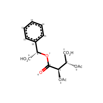 CC(=O)O[C@@H](C(=O)O)[C@@H](OC(C)=O)C(=O)O[C@H](C(=O)O)c1ccccc1